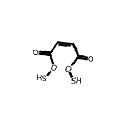 O=C(/C=C\C(=O)OS)OS